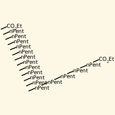 CCCCCC.CCCCCC.CCCCCC.CCCCCC.CCCCCC.CCCCCC.CCCCCC.CCCCCC.CCCCCC.CCCCCC.CCCCCC.CCCCCC.CCCCCC.CCCCCC.CCCCCC.CCCCCC.CCOC(C)=O.CCOC(C)=O